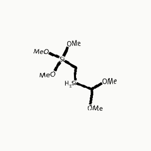 COC(OC)[SiH2]C[Si](OC)(OC)OC